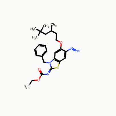 CCOC(=O)N=c1sc2cc(N=N)c(OCCC(C)CC(C)(C)C)cc2n1Cc1ccccc1